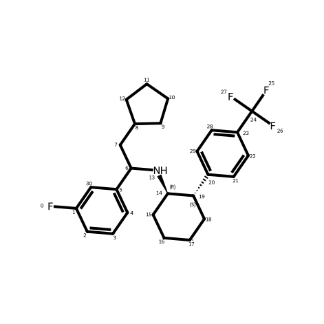 Fc1cccc(C(CC2CCCC2)N[C@@H]2CC[CH]C[C@H]2c2ccc(C(F)(F)F)cc2)c1